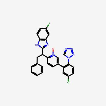 [O-][n+]1cc(-c2cc(Cl)ccc2-n2cnnn2)ccc1C(Cc1ccccc1)c1nc2cc(F)ccc2[nH]1